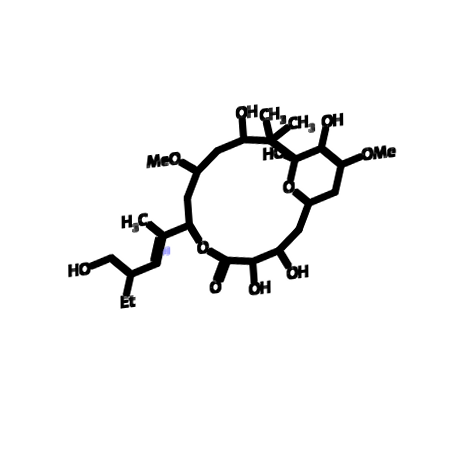 CCC(/C=C(\C)C1CC(OC)CC(O)C(C)(C)C2(O)OC(CC(O)C(O)C(=O)O1)CC(OC)C2O)CO